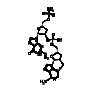 Nc1nc2c(ncn2[C@@H]2O[C@H](COS(N)(=O)=O)C[C@H]2OP(=O)(S)OC[C@@H]2C[C@@H](CF)[C@H](n3cnc4c(N)ncnc43)O2)c(=O)[nH]1